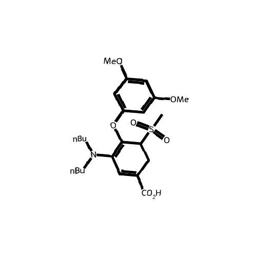 CCCCN(CCCC)C1=C(Oc2cc(OC)cc(OC)c2)C(S(C)(=O)=O)CC(C(=O)O)=C1